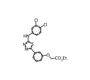 CCOC(=O)COc1cccc(-c2nnc(Nc3ccc(Cl)c(Cl)c3)s2)c1